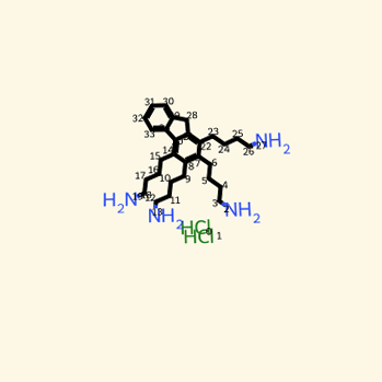 Cl.Cl.NCCCCc1c(CCCCN)c(CCCCN)c2c(c1CCCCN)Cc1ccccc1-2